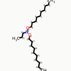 CCCCCCCCCCON(CCC)OCCCCCCCCCC